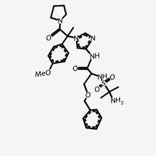 COc1ccc(C(C)(C(=O)N2CCCC2)n2cnc(NC(=O)C(COCc3ccccc3)NS(=O)(=O)C(C)(C)N)c2)cc1